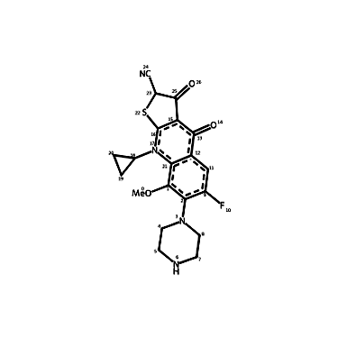 COc1c(N2CCNCC2)c(F)cc2c(=O)c3c(n(C4CC4)c12)SC(C#N)C3=O